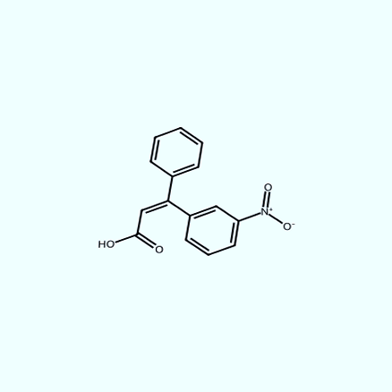 O=C(O)C=C(c1ccccc1)c1cccc([N+](=O)[O-])c1